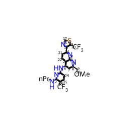 CCCNc1nc(Nc2cc(COC)nc3nc(-c4ncsc4C(F)(F)F)ccc23)ccc1C(F)(F)F